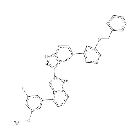 COc1cc(F)cc(-c2ccnc3[nH]c(-c4n[nH]c5ccc(-c6cncc(OCc7ccccc7)c6)cc45)cc23)c1